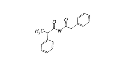 CC(C(=O)[N]C(=O)Cc1ccccc1)c1ccccc1